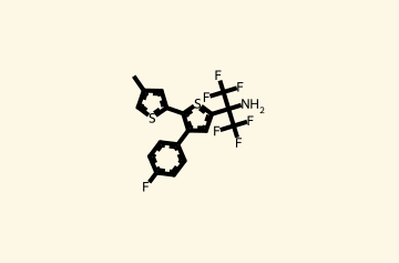 Cc1csc(-c2sc(C(N)(C(F)(F)F)C(F)(F)F)cc2-c2ccc(F)cc2)c1